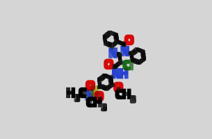 COc1cc(S(=O)(=O)N(C)C)ccc1NC(=O)C(Cl)c1nc2ccccc2c(=O)n1-c1ccccc1